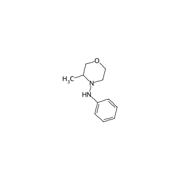 CC1COCCN1Nc1ccccc1